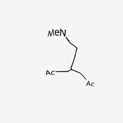 CNCC(C(C)=O)C(C)=O